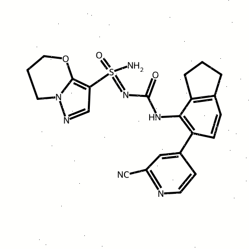 N#Cc1cc(-c2ccc3c(c2NC(=O)N=S(N)(=O)c2cnn4c2OCCC4)CCC3)ccn1